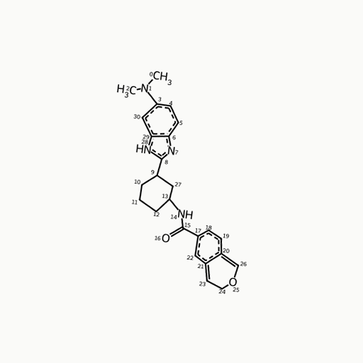 CN(C)c1ccc2nc(C3CCCC(NC(=O)c4ccc5c(c4)=CCOC=5)C3)[nH]c2c1